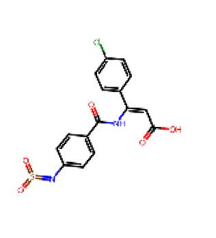 O=C(O)/C=C(\NC(=O)c1ccc(N=S(=O)=O)cc1)c1ccc(Cl)cc1